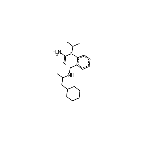 CC(CC1CCCCC1)NCc1ccccc1N(C(N)=S)C(C)C